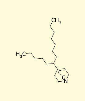 CCCCCCCC(CCCCC)C12CCN(CC1)CC2